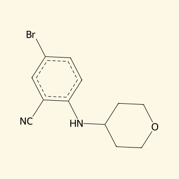 N#Cc1cc(Br)ccc1NC1CCOCC1